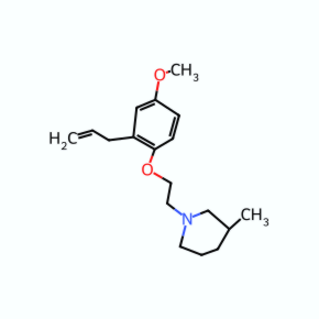 C=CCc1cc(OC)ccc1OCCN1CCCC(C)C1